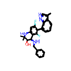 Cc1c[nH]c2c(-c3c(F)cc4c(c3F)C(NCc3ccccc3)C(O)C(C)(C)N4)cccc12